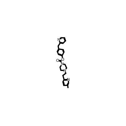 Cc1ccc(CCN2CCN(C(=O)Oc3ccc(Cc4ccccn4)cc3)CC2)nc1